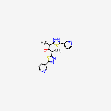 CC(C(=O)C(C)c1nnc(-c2cccnc2)s1)c1nnc(-c2cccnc2)s1